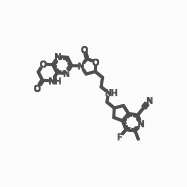 Cc1nc(C#N)c2c(c1F)CC(CNCCC1CN(c3cnc4c(n3)NC(=O)CO4)C(=O)O1)C2